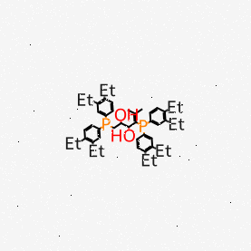 CCc1ccc(P(CC(O)C(O)C(=C(C)C)P(c2ccc(CC)c(CC)c2)c2ccc(CC)c(CC)c2)c2ccc(CC)c(CC)c2)cc1CC